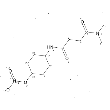 CN(C)C(=O)CCC(=O)NC1CCC(O[N+](=O)[O-])CC1